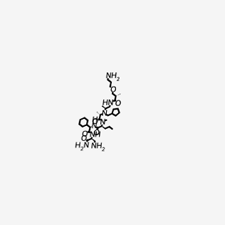 CCC[C@@H](C(=O)N[C@H](C(=O)N[C@@H](CN)C(N)=O)C1CCCCC1)N(C)C(=O)[C@H](C)N(CC1CCCC1)[C@@H](C)CNC(=O)[C@@H](C)COCCCN